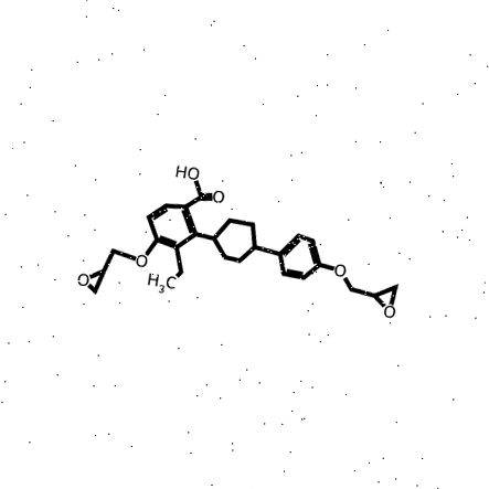 CCc1c(OCC2CO2)ccc(C(=O)O)c1C1CCC(c2ccc(OCC3CO3)cc2)CC1